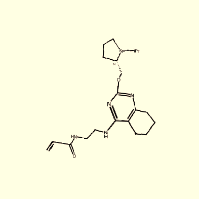 C=CC(=O)NCCNc1nc(OC[C@@H]2CCCN2C(C)C)nc2c1CCCC2